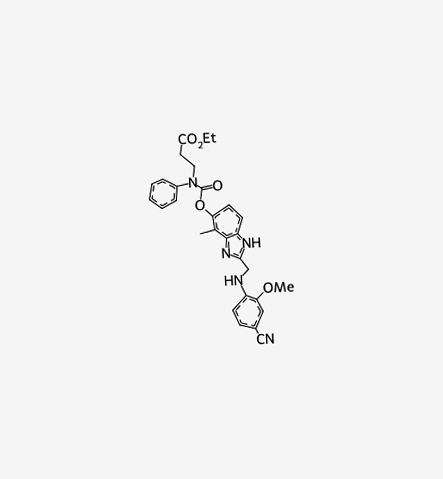 CCOC(=O)CCN(C(=O)Oc1ccc2[nH]c(CNc3ccc(C#N)cc3OC)nc2c1C)c1ccccc1